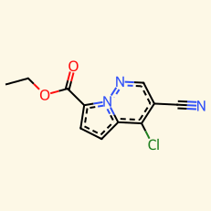 CCOC(=O)c1ccc2c(Cl)c(C#N)cnn12